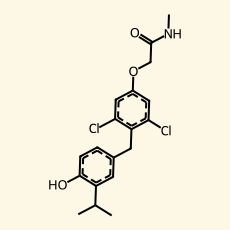 CNC(=O)COc1cc(Cl)c(Cc2ccc(O)c(C(C)C)c2)c(Cl)c1